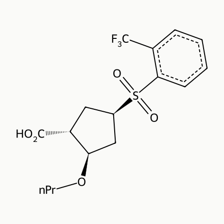 CCCO[C@@H]1C[C@H](S(=O)(=O)c2ccccc2C(F)(F)F)C[C@H]1C(=O)O